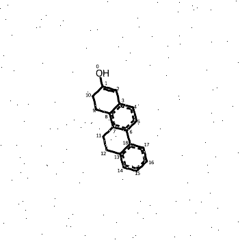 OC1=Cc2ccc3c(c2CC1)CCc1ccccc1-3